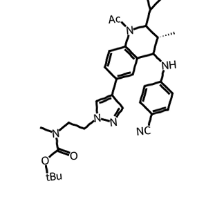 CC(=O)N1c2ccc(-c3cnn(CCN(C)C(=O)OC(C)(C)C)c3)cc2C(Nc2ccc(C#N)cc2)[C@@H](C)C1C1CC1